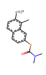 Cc1c(C(=O)O)ccc2ccc(SC(=O)N(C)C)cc12